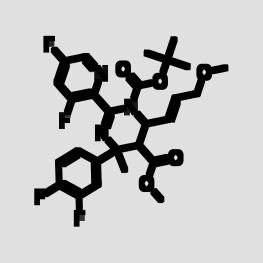 COC/C=C/C1C(C(=O)OC)C(C)(c2ccc(F)c(F)c2)N=C(c2ncc(F)cc2F)N1C(=O)OC(C)(C)C